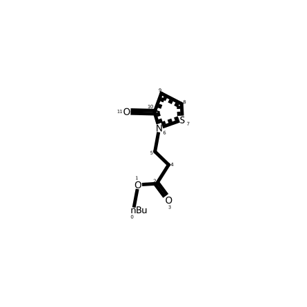 CCCCOC(=O)CCn1sccc1=O